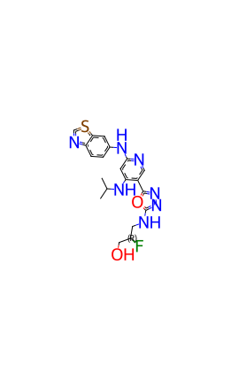 CC(C)Nc1cc(Nc2ccc3ncsc3c2)ncc1-c1nnc(NC[C@@H](F)CO)o1